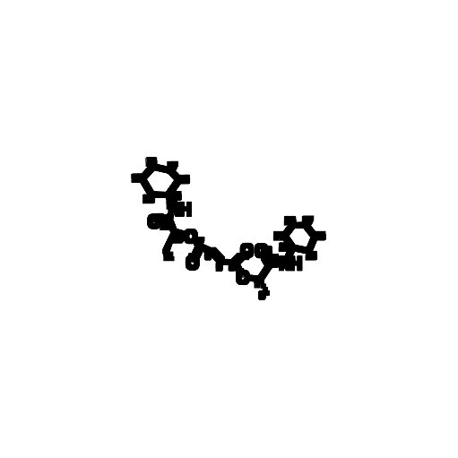 C[C@H](OC(=O)/C=C/C(=O)O[C@@H](C)C(=O)NC1CCCCC1)C(=O)NC1CCCCC1